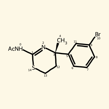 CC(=O)NC1=N[C@](C)(c2cccc(Br)c2)CCS1